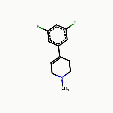 CN1CC=C(c2cc(F)cc(F)c2)CC1